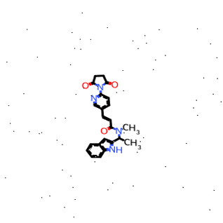 CC(c1cc2ccccc2[nH]1)N(C)C(=O)C=Cc1ccc(N2C(=O)CCC2=O)nc1